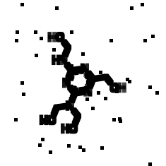 OCNc1nc(CO)nc(N(CO)CO)n1